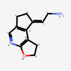 NCC=C1CCc2cnc3c(c21)CCO3